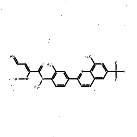 Cc1cc(-c2ccc3cc(C(F)(F)F)cc(C)c3n2)ccc1N(C)C(=O)/C(=C/C=N)NO